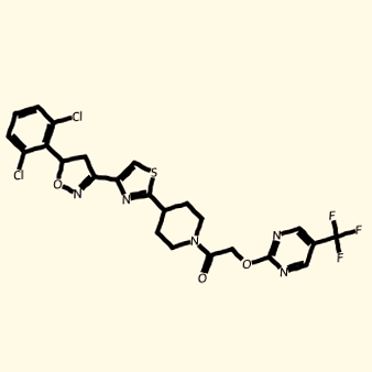 O=C(COc1ncc(C(F)(F)F)cn1)N1CCC(c2nc(C3=NOC(c4c(Cl)cccc4Cl)C3)cs2)CC1